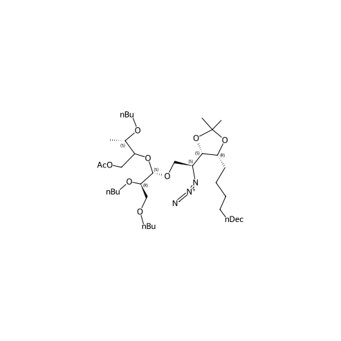 CCCCCCCCCCCCCC[C@H]1OC(C)(C)O[C@H]1[C@H](CO[C@@H](OC(COC(C)=O)[C@H](C)OCCCC)[C@@H](COCCCC)OCCCC)N=[N+]=[N-]